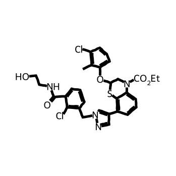 CCOC(=O)N1CC(Oc2cccc(Cl)c2C)Sc2c(-c3cnn(Cc4cccc(C(=O)NCCO)c4Cl)c3)cccc21